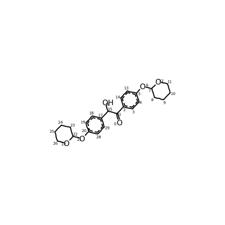 O=C(c1ccc(OC2CCCCO2)cc1)C(O)c1ccc(OC2CCCCO2)cc1